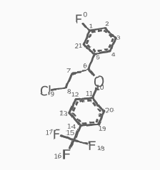 Fc1cccc([C@H](CCCl)Oc2ccc(C(F)(F)F)cc2)c1